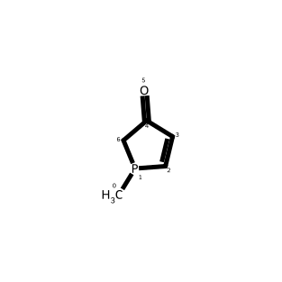 CP1C=CC(=O)C1